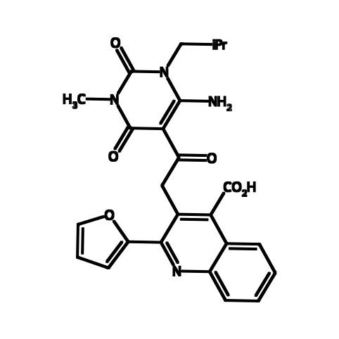 CC(C)Cn1c(N)c(C(=O)Cc2c(-c3ccco3)nc3ccccc3c2C(=O)O)c(=O)n(C)c1=O